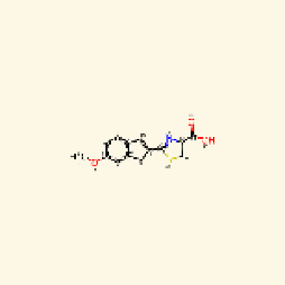 COc1ccc2c(c1)CC(C1=NC(C(=O)O)CS1)=C2